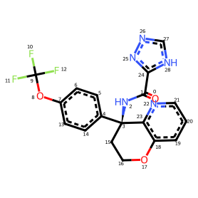 O=C(N[C@]1(c2ccc(OC(F)(F)F)cc2)CCOc2cccnc21)c1nnc[nH]1